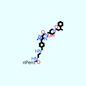 CCCCCC(=O)NCCCNCc1ccc(-c2c3ncn(CC4(O)CCN(C(=O)CC(C)c5ccccc5)CC4)c(=O)c3nn2C)cc1